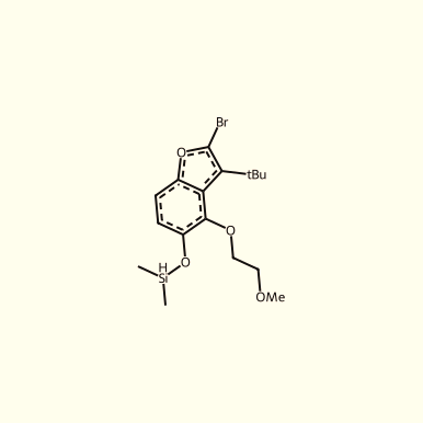 COCCOc1c(O[SiH](C)C)ccc2oc(Br)c(C(C)(C)C)c12